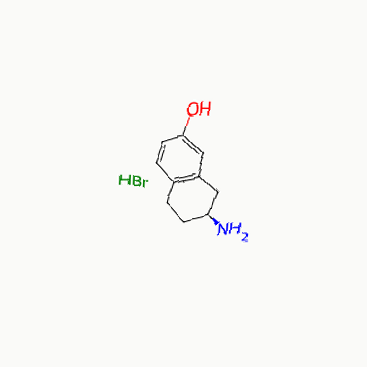 Br.N[C@H]1CCc2ccc(O)cc2C1